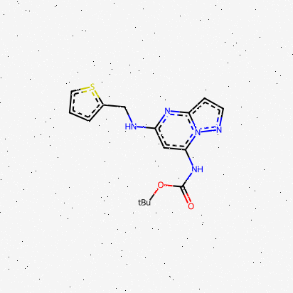 CC(C)(C)OC(=O)Nc1cc(NCc2cccs2)nc2ccnn12